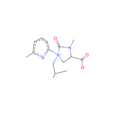 Cc1cccc([N+]2(CC(C)C)CC(C(=O)[O-])N(C)C2=O)n1